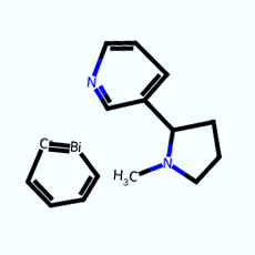 CN1CCCC1c1cccnc1.[C-]1=[Bi][CH]=CC=C1